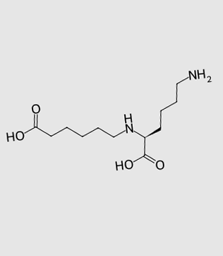 NCCCC[C@H](NCCCCCC(=O)O)C(=O)O